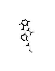 CCNC(=O)Nc1cccc(-n2c(C(C)N)nc3c(F)ccc(Cl)c3c2=O)c1